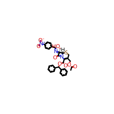 CC(=O)OCC1=C(C(=O)OC(c2ccccc2)c2ccccc2)N2C(=O)[C@@](CO)(N=Cc3ccc([N+](=O)[O-])cc3)[C@H]2SC1